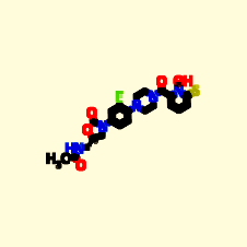 CC(=O)NC[C@H]1CN(c2ccc(N3CCN(C(=O)c4cccc(=S)n4O)CC3)c(F)c2)C(=O)O1